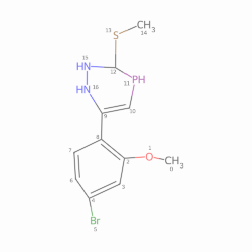 COc1cc(Br)ccc1C1=CPC(SC)NN1